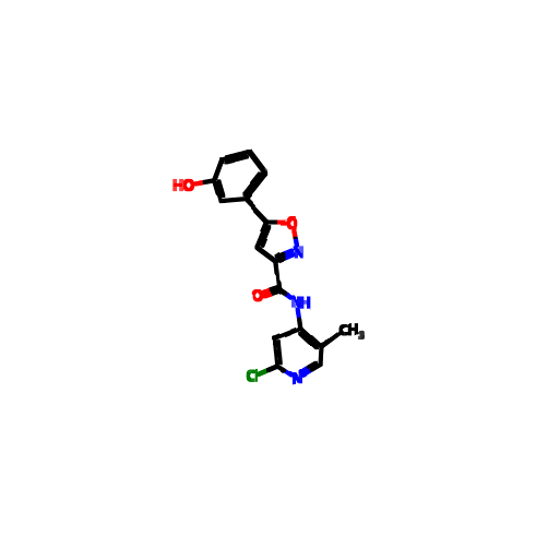 Cc1cnc(Cl)cc1NC(=O)c1cc(-c2cccc(O)c2)on1